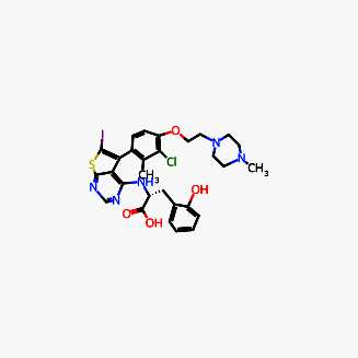 Cc1c(-c2c(I)sc3ncnc(N[C@H](Cc4ccccc4O)C(=O)O)c23)ccc(OCCN2CCN(C)CC2)c1Cl